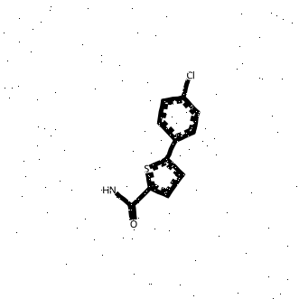 [NH]C(=O)c1ccc(-c2ccc(Cl)cc2)s1